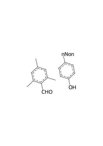 CCCCCCCCCc1ccc(O)cc1.Cc1cc(C)c(C=O)c(C)c1